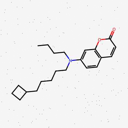 CCCCN(CCCCCC1CCC1)c1ccc2ccc(=O)oc2c1